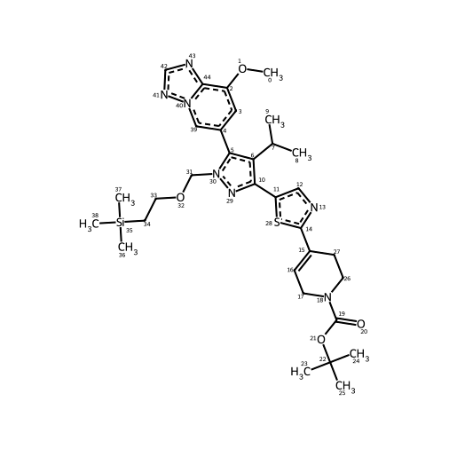 COc1cc(-c2c(C(C)C)c(-c3cnc(C4=CCN(C(=O)OC(C)(C)C)CC4)s3)nn2COCC[Si](C)(C)C)cn2ncnc12